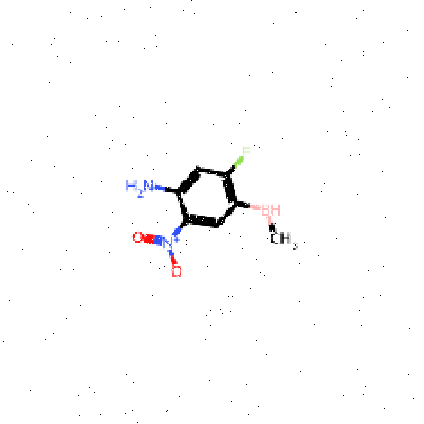 CBc1cc([N+](=O)[O-])c(N)cc1F